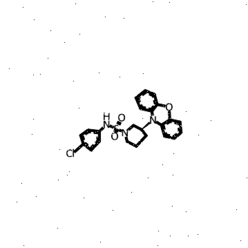 O=S(=O)(Nc1ccc(Cl)cc1)N1CCC[C@H](N2c3ccccc3Oc3ccccc32)C1